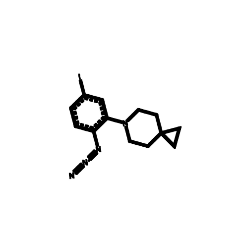 [N-]=[N+]=Nc1ccc(I)cc1N1CCC2(CC1)CC2